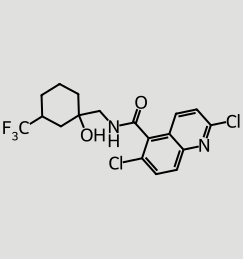 O=C(NCC1(O)CCCC(C(F)(F)F)C1)c1c(Cl)ccc2nc(Cl)ccc12